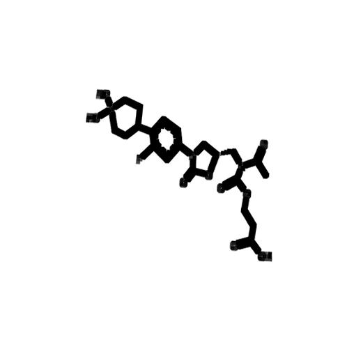 CC(=O)N(C[C@H]1CN(c2ccc(C3CCS(O)(O)CC3)c(F)c2)C(=O)O1)C(=O)OCCC(=O)O